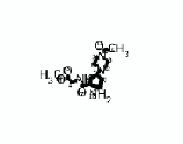 COC(=O)CNC(=O)c1cc(N2CCN(C(C)=O)CC2)ccc1N